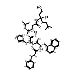 CC(C)CCC(O)(CCO)NC(=O)C[C@H](O)[C@H](CC(C)C)NC(=O)[C@H](Cc1c[nH]cn1)NC(=O)[C@H](Cc1cccc2ccccc12)NC(=O)OCc1ccccc1